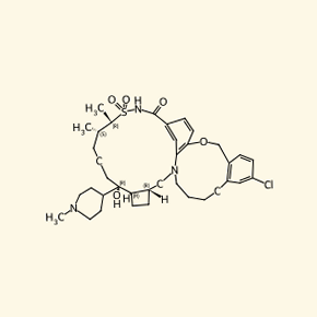 C[C@@H]1[C@@H](C)CCC[C@@](O)(C2CCN(C)CC2)[C@@H]2CC[C@H]2CN2CCCCc3cc(Cl)ccc3COc3ccc(cc32)C(=O)NS1(=O)=O